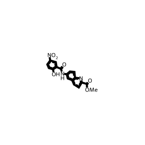 COC(=O)c1ccc2cc(NC(=O)c3cc([N+](=O)[O-])ccc3O)ccc2n1